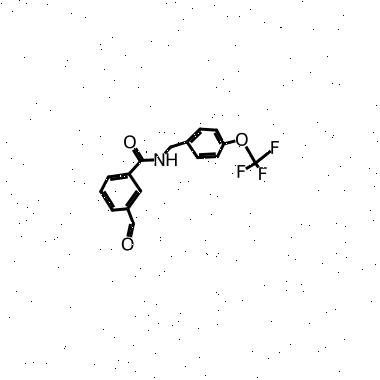 O=Cc1cccc(C(=O)NCc2ccc(OC(F)(F)F)cc2)c1